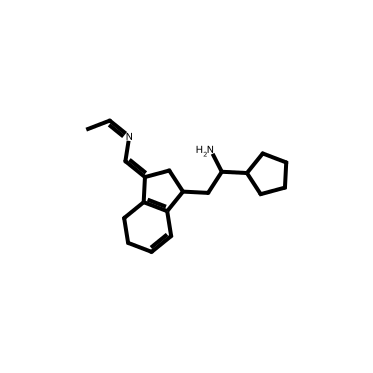 C/C=N\C=C1/CC(CC(N)C2CCCC2)C2=C1CCC=C2